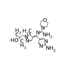 C=c1/c(=C(\N=C(/N)N2CCOCC2)c2cnc(N)nc2)cnn1CC(C)(C)O